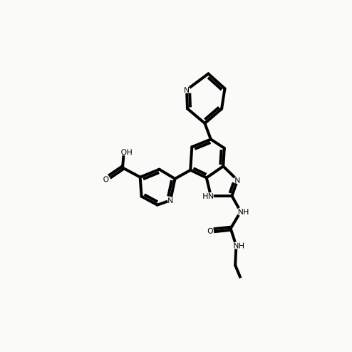 CCNC(=O)Nc1nc2cc(-c3cccnc3)cc(-c3cc(C(=O)O)ccn3)c2[nH]1